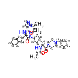 CCC(=O)N[C@H](Cc1ccc(NC(=O)[C@@H](NC(=O)c2ccnn2C(C)C)C2Cc3ccccc3C2)cc1)C(=O)N1CCN(Cc2ccccc2)CC1